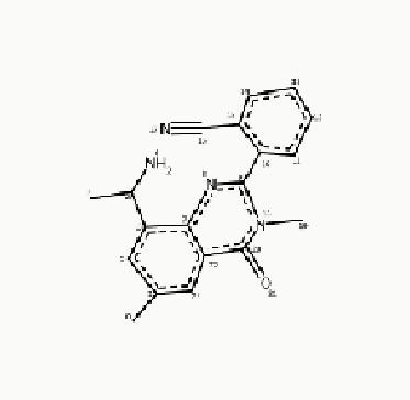 Cc1cc(C(C)N)c2nc(-c3ccccc3C#N)n(C)c(=O)c2c1